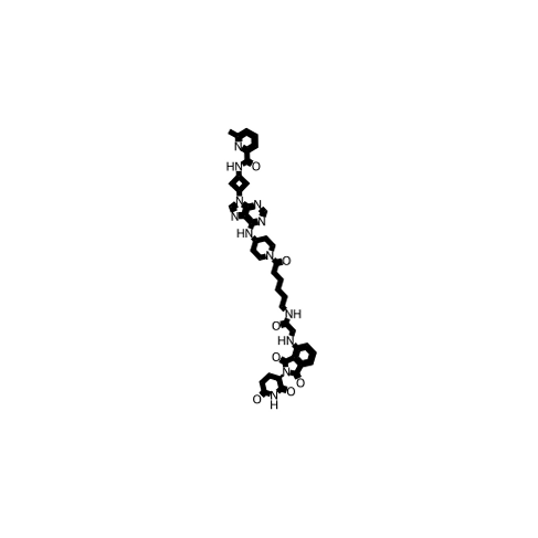 Cc1cccc(C(=O)NC2CC(n3cnc4c(NC5CCN(C(=O)CCCCCNC(=O)CNc6cccc7c6C(=O)N([C@@H]6CCC(=O)NC6=O)C7=O)CC5)ncnc43)C2)n1